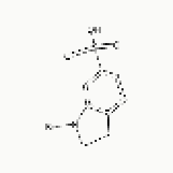 O=S(=O)(O)c1ccc2c(c1)N(Br)CC2